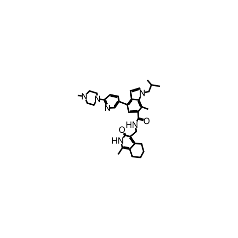 Cc1[nH]c(=O)c(CNC(=O)c2cc(-c3ccc(N4CCN(C)CC4)nc3)c3ccn(CC(C)C)c3c2C)c2c1CCCC2